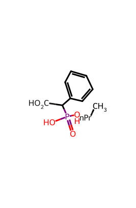 CCCC.O=C(O)C(c1ccccc1)P(=O)(O)O